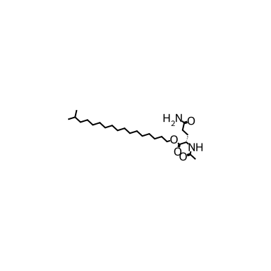 CC(=O)N[C@@H](CCC(N)=O)C(=O)OCCCCCCCCCCCCCCCC(C)C